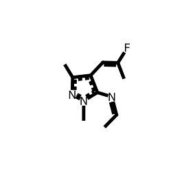 C/C=N\c1c(/C=C(\C)F)c(C)nn1C